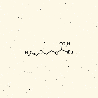 C=COCCOC(CCCC)C(=O)O